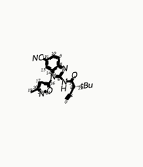 C#C[C@H](C(=O)Nc1nc2ccc(C#N)cc2n1-c1cc(C)no1)C(C)(C)C